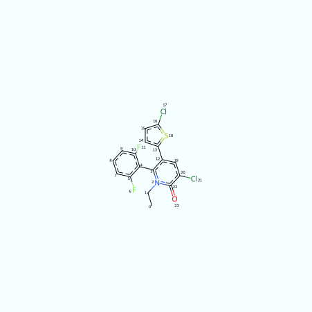 CCn1c(-c2c(F)cccc2F)c(-c2ccc(Cl)s2)cc(Cl)c1=O